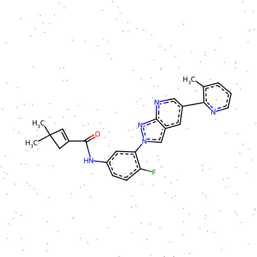 Cc1cccnc1-c1cnc2nn(-c3cc(NC(=O)C4=CC(C)(C)C4)ccc3F)cc2c1